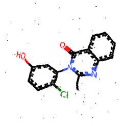 Cc1nc2ccccc2c(=O)n1-c1cc(O)ccc1Cl